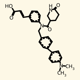 CN(C)c1ccc(-c2ccc(CN(C(=O)C3CCC(=O)NC3)c3cccc(C=CC(=O)O)c3)cc2)cc1